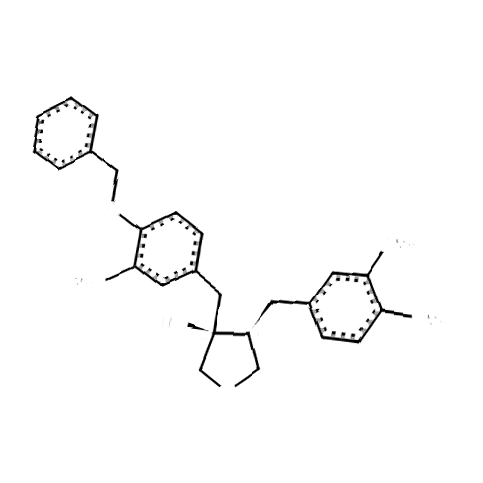 COc1ccc(C[C@H]2COC[C@]2(C)Cc2ccc(OCc3ccccc3)c(OC)c2)cc1OC